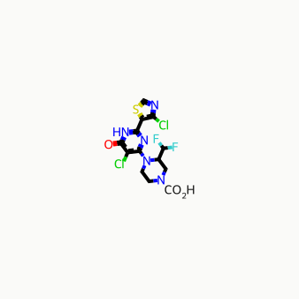 O=C(O)N1CCN(c2nc(-c3scnc3Cl)[nH]c(=O)c2Cl)C(C(F)F)C1